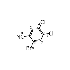 N#Cc1cc(Cl)c(Cl)cc1Br